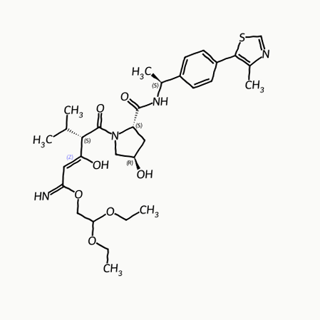 CCOC(COC(=N)/C=C(\O)[C@@H](C(=O)N1C[C@H](O)C[C@H]1C(=O)N[C@@H](C)c1ccc(-c2scnc2C)cc1)C(C)C)OCC